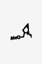 COCC1CC2CC2N1I